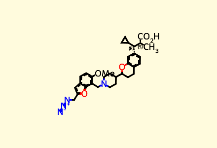 COc1ccc2cc(CN=[N+]=[N-])oc2c1CN1CCC(C2CCc3ccc([C@H](C4CC4)[C@H](C)C(=O)O)cc3O2)CC1